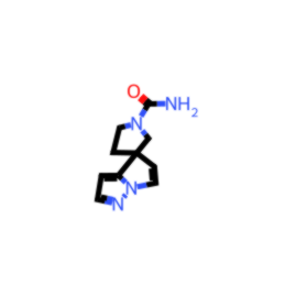 NC(=O)N1CCC2(C=Cn3nccc32)C1